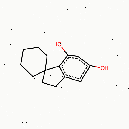 Oc1cc(O)c2c(c1)CCC21CCCCC1